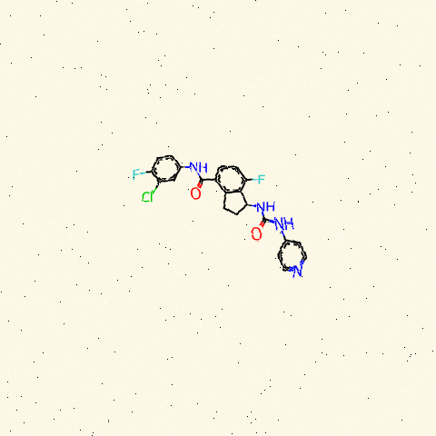 O=C(Nc1ccncc1)N[C@H]1CCc2c(C(=O)Nc3ccc(F)c(Cl)c3)ccc(F)c21